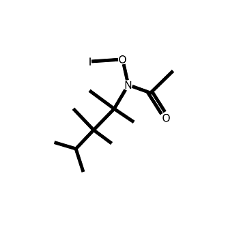 CC(=O)N(OI)C(C)(C)C(C)(C)C(C)C